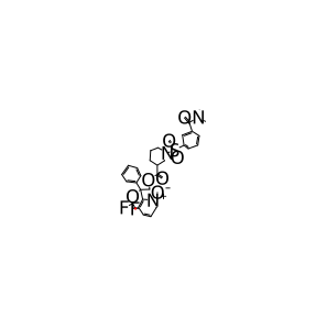 CN(C)C(=O)c1cccc(S(=O)(=O)N2CCCC(C(=O)OCC(OC(F)F)(c3ccccc3)c3cccc[n+]3[O-])C2)c1